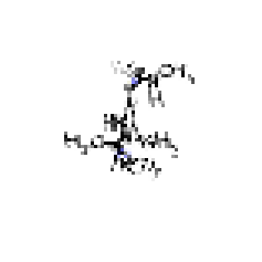 C/N=C(/C)[C@H](N)NN/C=C(/C)NC